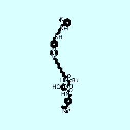 Cc1ncsc1-c1ccc(C(C)NC(=O)[C@@H]2C[C@@H](O)CN2C(=O)C(NC(=O)CCCCCCCCCN2CCN(c3ccc(CNCCCNCc4ccccc4N(C)C)cc3)CC2)C(C)(C)C)cc1